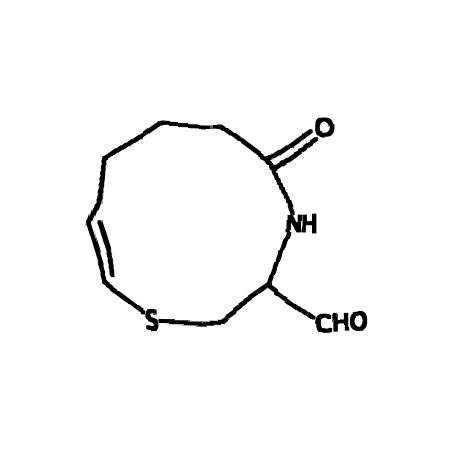 O=CC1CSC=CCCCC(=O)N1